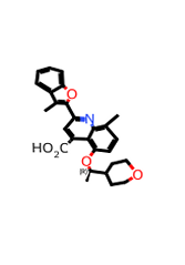 Cc1c(-c2cc(C(=O)O)c3c(O[C@H](C)C4CCOCC4)ccc(C)c3n2)oc2ccccc12